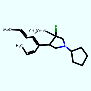 C\C=C/C(=C\C=C\OC)C1CN(C2CCCC2)CC1(F)N(C)O